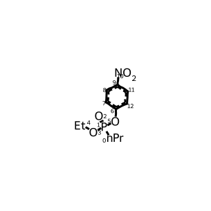 CCCP(=O)(OCC)Oc1ccc([N+](=O)[O-])cc1